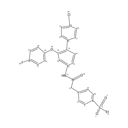 CCS(=O)(=O)c1ccc(CC(=O)Nc2ccc(-c3ccc(Cl)cc3)c(Oc3ccc(F)cc3)c2)cc1